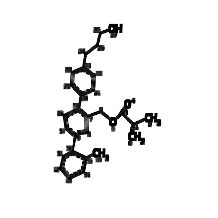 C=C(C)C(=O)OCc1cc(-c2ccccc2C)ccc1-c1ccc(CCCO)cc1